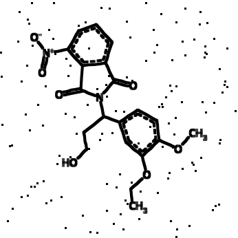 CCOc1cc(C(CCO)N2C(=O)c3cccc([N+](=O)[O-])c3C2=O)ccc1OC